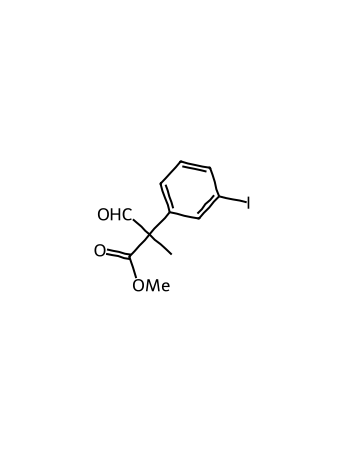 COC(=O)C(C)(C=O)c1cccc(I)c1